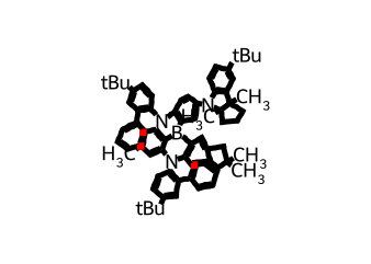 Cc1cc2c3c(c1)N(c1ccc(C(C)(C)C)cc1-c1ccccc1)c1cc4c(cc1B3c1cc(N3c5ccc(C(C)(C)C)cc5C5(C)CCCC35C)ccc1N2c1ccc(C(C)(C)C)cc1-c1ccccc1)CC(C)(C)C4